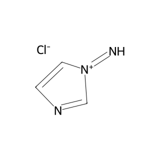 N=[N+]1C=CN=C1.[Cl-]